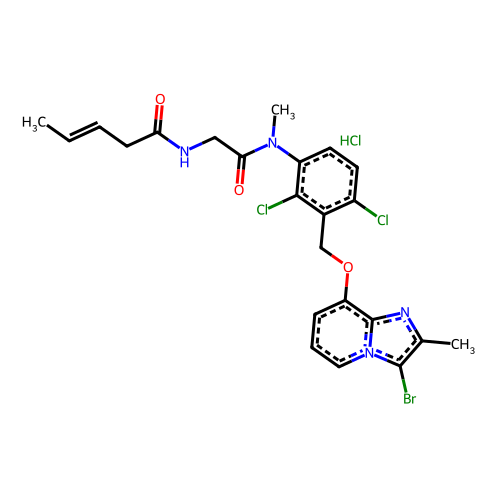 C/C=C/CC(=O)NCC(=O)N(C)c1ccc(Cl)c(COc2cccn3c(Br)c(C)nc23)c1Cl.Cl